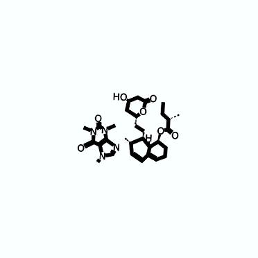 CC[C@H](C)C(=O)O[C@H]1CCC=C2C=C[C@H](C)[C@H](CC[C@@H]3C[C@@H](O)CC(=O)O3)[C@H]21.Cn1c(=O)c2c(ncn2C)n(C)c1=O